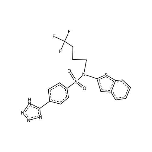 O=S(=O)(c1ccc(-c2nnn[nH]2)cc1)N(CCCC(F)(F)F)c1cc2ccccc2s1